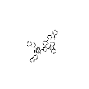 CC1(C)c2ccccc2-c2ccc(-c3ccccc3-c3cccc4c5ccccc5n(-c5ccc(-c6nc(-c7ccc8ccccc8c7)nc(-c7ccc8ccccc8c7)n6)cc5)c34)cc21